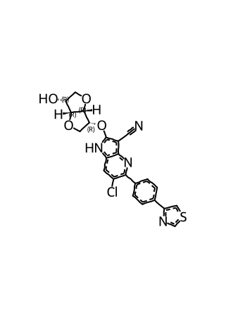 N#Cc1c(O[C@@H]2CO[C@H]3[C@@H]2OC[C@H]3O)[nH]c2cc(Cl)c(-c3ccc(-c4cscn4)cc3)nc12